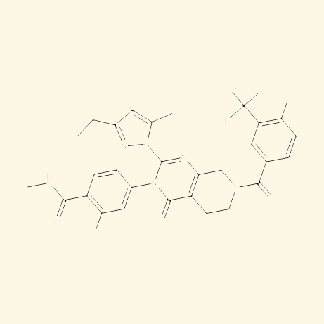 CCc1cc(C)n(-c2nc3c(c(=O)n2-c2ccc(C(=O)NC)c(Cl)c2)C[C@@H](C)N(C(=O)c2ccc(Cl)c(C(F)(F)F)c2)C3)n1